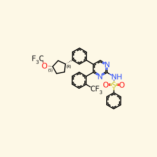 O=S(=O)(Nc1ncc(-c2cccc([C@@H]3CC[C@H](OC(F)(F)F)C3)c2)c(-c2ccccc2C(F)(F)F)n1)c1ccccc1